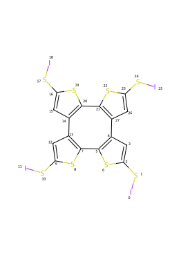 ISc1cc2c(s1)-c1sc(SI)cc1-c1cc(SI)sc1-c1sc(SI)cc1-2